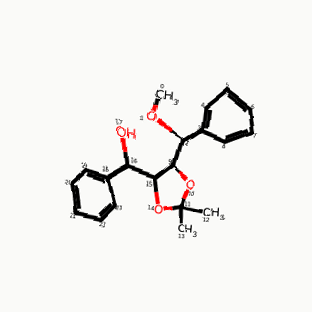 CO[C@@H](c1ccccc1)[C@H]1OC(C)(C)OC1C(O)c1ccccc1